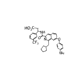 CC(C)(C)c1ccc(Oc2ccc3cc(C(=O)NC(CC(=O)O)c4cccc(C(F)(F)F)c4)nc(CC4CCCC4)c3c2)cc1